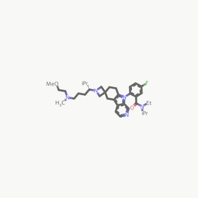 CCN(C(=O)c1cc(F)ccc1-n1c2c(c3ccncc31)CC1(CC2)CN([C@H](CCCN(C)CCOC)C(C)C)C1)C(C)C